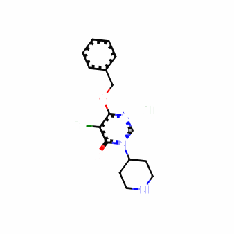 Cl.O=c1c(Br)c(OCc2ccccc2)ncn1C1CCNCC1